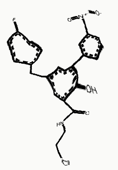 O=C(NCCCl)c1cc(Cc2ccc(F)cc2)cc(-c2cccc([N+](=O)[O-])c2)c1O